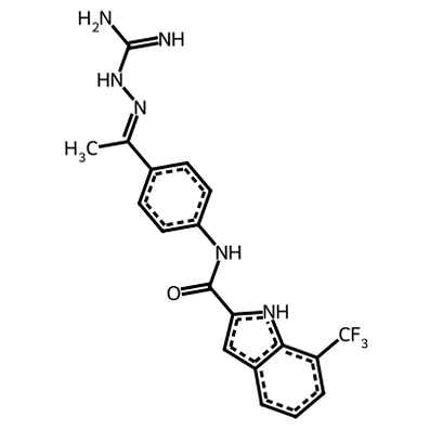 C/C(=N\NC(=N)N)c1ccc(NC(=O)c2cc3cccc(C(F)(F)F)c3[nH]2)cc1